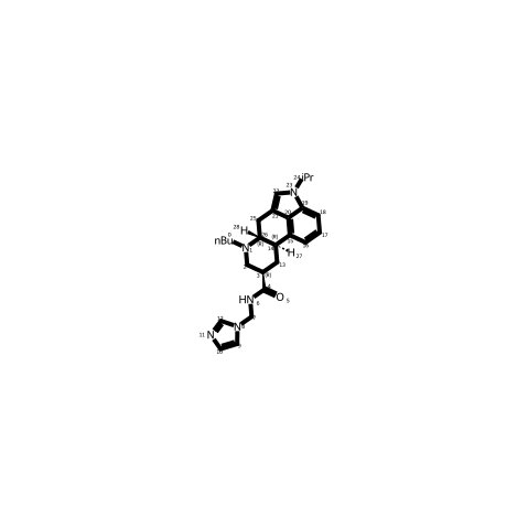 CCCCN1C[C@H](C(=O)NCn2ccnc2)C[C@@H]2c3cccc4c3c(cn4C(C)C)C[C@H]21